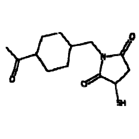 CC(=O)C1CCC(CN2C(=O)CC(S)C2=O)CC1